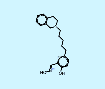 O/N=C/c1nc(CCCCCN2CCc3ccccc3C2)ccc1O